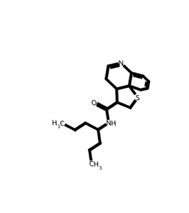 CCCC(CCC)NC(=O)C1CSC23CC=CC=C2N=CCC13